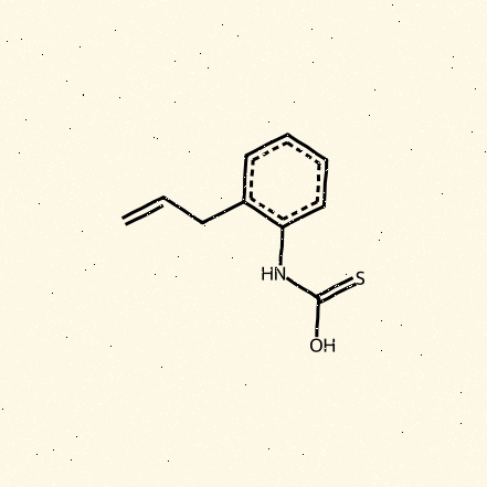 C=CCc1ccccc1NC(O)=S